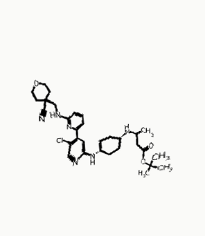 CC(CC(=O)OC(C)(C)C)N[C@H]1CC[C@H](Nc2cc(-c3cccc(NCC4(C#N)CCOCC4)n3)c(Cl)cn2)CC1